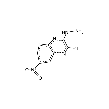 NNc1nc2ccc([N+](=O)[O-])cc2nc1Cl